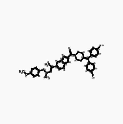 COc1ccc(SN(N)/C=C(\N)c2cnc3cc(C(=O)N4CCC(=C(c5ccc(F)cc5)c5ccc(F)cc5)CC4)nn3c2)cc1